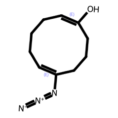 [N-]=[N+]=N/C1=C/CCC/C=C(/O)CCC1